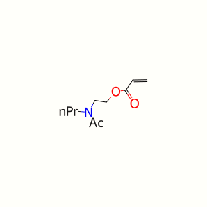 C=CC(=O)OCCN(CCC)C(C)=O